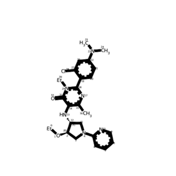 CCO[C@@H]1CN(c2ccccn2)C[C@H]1Nc1c(C)nc(-c2ccc(N(C)C)cc2Cl)n(CC)c1=O